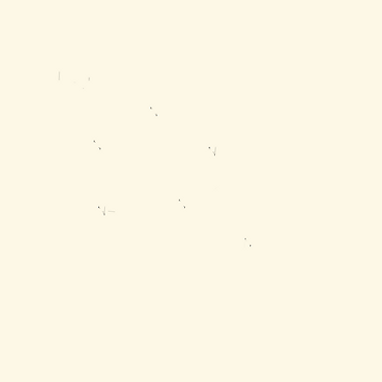 CC1CCN(C)C(c2nc3nc(C(=O)O)nc(N[C@H](C)C4CCC4)c3n2CC2CCCCC2)C1